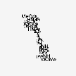 COC(=O)N[C@H](C(=O)N1CCC[C@H]1c1ncc(-c2ccc(C#Cc3ccc4nc([C@@H]5C[C@]6(CCCOC6)CN5C(=O)[C@@H](NC(=O)OC)C(C)C)[nH]c4c3)cc2)[nH]1)C(C)C